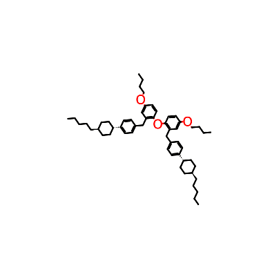 CCCCC[C@H]1CC[C@H](c2ccc(Cc3cc(OCCCC)ccc3Oc3ccc(OCCCC)cc3Cc3ccc([C@H]4CC[C@H](CCCCC)CC4)cc3)cc2)CC1